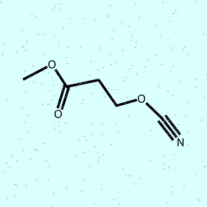 COC(=O)CCOC#N